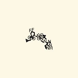 CN(C[C@@H]1CC(F)(F)CN1S(=O)(=O)CC1CC1)S(=O)(=O)N1CCN(c2ncnc3[nH]ccc23)CC12CC2